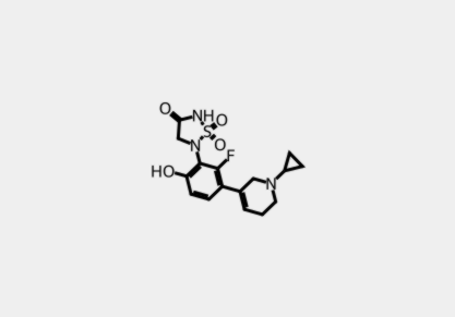 O=C1CN(c2c(O)ccc(C3=CCCN(C4CC4)C3)c2F)S(=O)(=O)N1